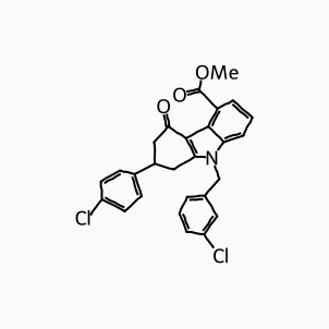 COC(=O)c1cccc2c1c1c(n2Cc2cccc(Cl)c2)CC(c2ccc(Cl)cc2)CC1=O